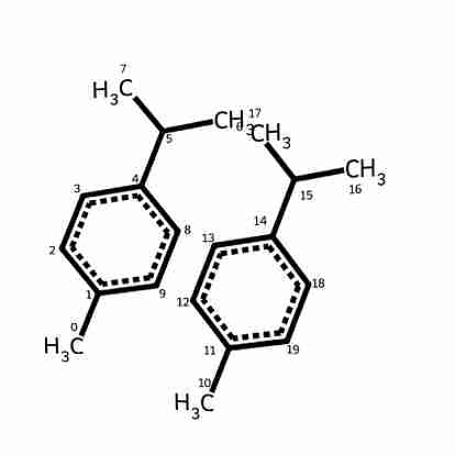 Cc1ccc(C(C)C)cc1.Cc1ccc(C(C)C)cc1